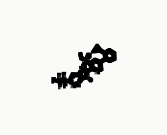 CCS(=O)(=O)c1cc(-c2ccccc2C2CC2)cnc1-c1nc2cc(C(F)(F)C(F)(F)F)nnc2n1C